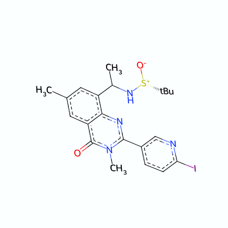 Cc1cc(C(C)N[S@+]([O-])C(C)(C)C)c2nc(-c3ccc(I)nc3)n(C)c(=O)c2c1